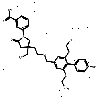 CCOc1cc(CNCCC2(CC)CC(=O)N(c3cccc(C(N)=O)c3)C2)cc(OCC)c1-c1ccc(F)cc1